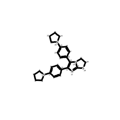 c1cc(N2CCCC2)ccc1-c1nc2n(c1-c1ccc(N3CCCC3)cc1)CCS2